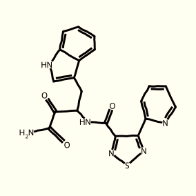 NC(=O)C(=O)C(Cc1c[nH]c2ccccc12)NC(=O)c1nsnc1-c1ccccn1